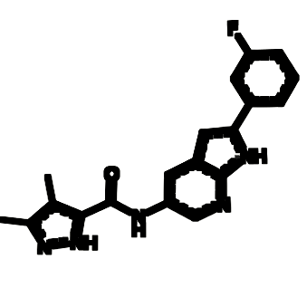 Cc1n[nH]c(C(=O)Nc2cnc3[nH]c(-c4cccc(F)c4)cc3c2)c1C